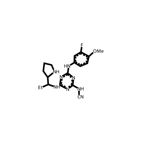 CCC(Nc1nc(NC#N)nc(Nc2ccc(OC)c(F)c2)n1)C1CCCN1